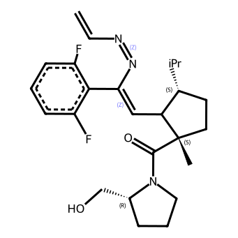 C=C/N=N\C(=C/C1[C@H](C(C)C)CC[C@]1(C)C(=O)N1CCC[C@@H]1CO)c1c(F)cccc1F